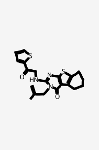 C=C(C)Cn1c(NCC(=O)c2cccs2)nc2sc3c(c2c1=O)CCCC3